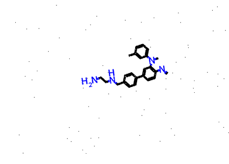 C=Nc1ccc(-c2ccc(CNCCN)cc2)cc1N(C)c1cccc(C)c1